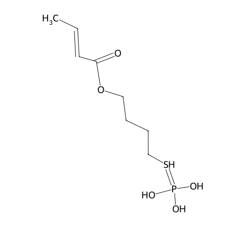 CC=CC(=O)OCCCC[SH]=P(O)(O)O